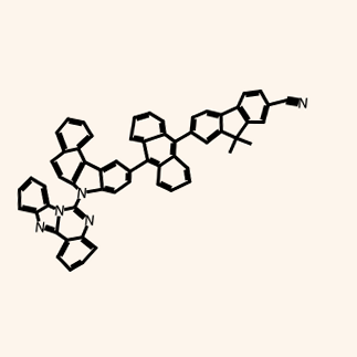 CC1(C)c2cc(C#N)ccc2-c2ccc(-c3c4ccccc4c(-c4ccc5c(c4)c4c6ccccc6ccc4n5-c4nc5ccccc5c5nc6ccccc6n45)c4ccccc34)cc21